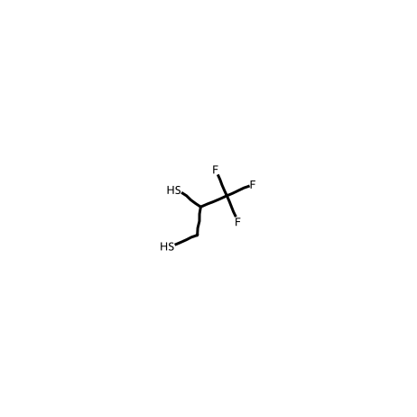 FC(F)(F)C(S)CS